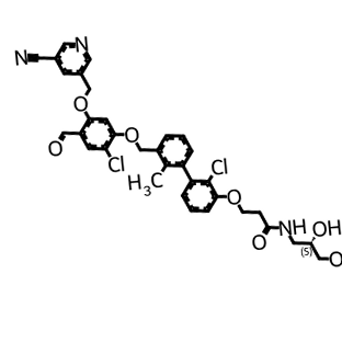 Cc1c(COc2cc(OCc3cncc(C#N)c3)c(C=O)cc2Cl)cccc1-c1cccc(OCCC(=O)NC[C@H](O)CO)c1Cl